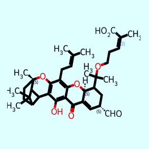 CC(C)=CCc1c2c(c(O)c3c1O[C@@]1(C)CCC4C3C1C4(C)C)C(=O)C1=C[C@@H](C=O)CC(C(C)(C)OCC/C=C(/C)C(=O)O)[C@@H]1O2